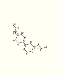 C/C=C/C1CCCC(C2CCC(OCC)CC2)C1